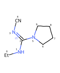 CCN/C(=N/C#N)N1CCCC1